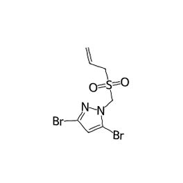 C=CCS(=O)(=O)Cn1nc(Br)cc1Br